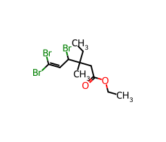 CCOC(=O)CC(C)(CC)C(Br)C=C(Br)Br